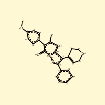 COc1ccc(-c2c(C)[nH]c3c(C4=CCOCC4)c(-c4ccccc4)nn3c2=O)cc1